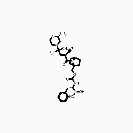 C[C@@H]1CN(C(C)(C)/C=C(\C#N)C(=O)N2C3CCC2(COC(=O)N[C@@H](Cc2ccccc2)B(O)O)CC3)CCO1